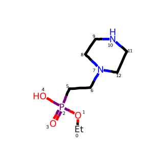 CCOP(=O)(O)CCN1CCNCC1